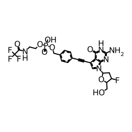 Nc1nc2c(c(C#Cc3ccc(COP(=O)(O)OCCNC(=O)C(F)(F)F)cc3)cn2C2CC(F)C(CO)O2)c(=O)[nH]1